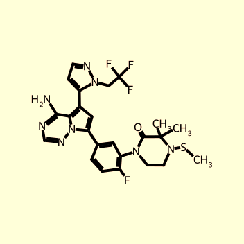 CSN1CCN(c2cc(-c3cc(-c4ccnn4CC(F)(F)F)c4c(N)ncnn34)ccc2F)C(=O)C1(C)C